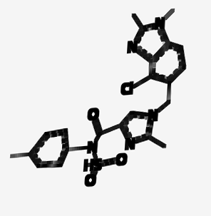 Cc1ccc(N(C(=O)c2cn(Cc3ccc4c(nc(C)n4C)c3Cl)c(C)n2)[SH](=O)=O)cc1